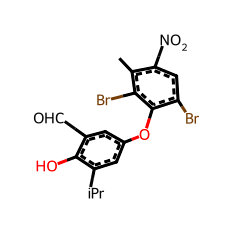 Cc1c([N+](=O)[O-])cc(Br)c(Oc2cc(C=O)c(O)c(C(C)C)c2)c1Br